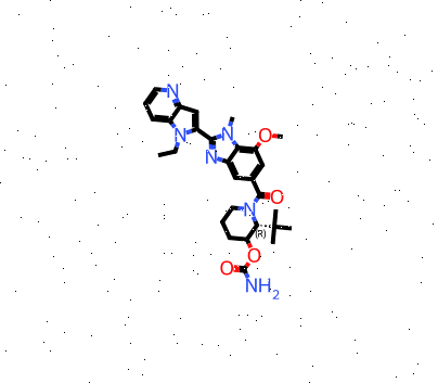 CCn1c(-c2nc3cc(C(=O)N4CCCC(OC(N)=O)[C@H]4C(C)(C)C)cc(OC)c3n2C)cc2ncccc21